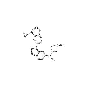 C[C@H](c1ccc2nnc(-c3ccc4cccc(C5CC5)c4n3)n2c1)N1CC[C@@H](N)C1